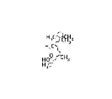 CCC(CC=C(C)C=CC=C(C)C=CC1=C(C)CCCC1(C)C)C(=O)O